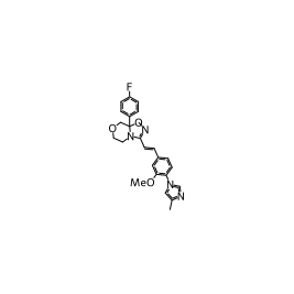 COc1cc(/C=C/C2=NOC3(c4ccc(F)cc4)COCCN23)ccc1-n1cnc(C)c1